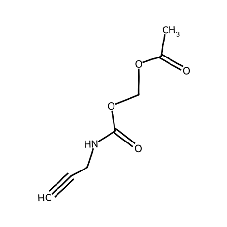 C#CCNC(=O)OCOC(C)=O